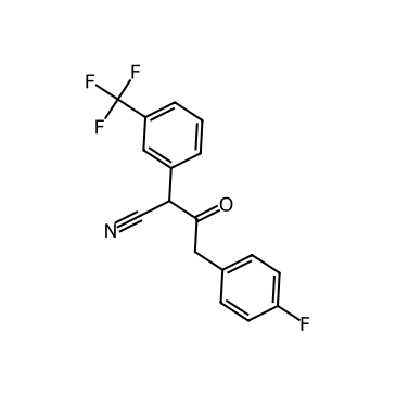 N#CC(C(=O)Cc1ccc(F)cc1)c1cccc(C(F)(F)F)c1